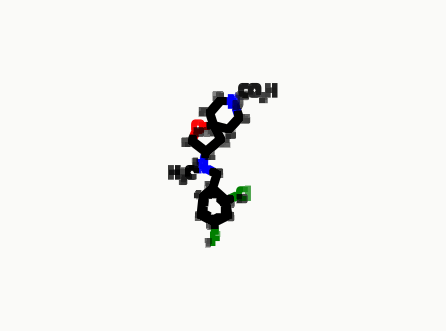 CN(Cc1ccc(F)cc1Cl)C1COC2(CCN(C(=O)O)CC2)C1